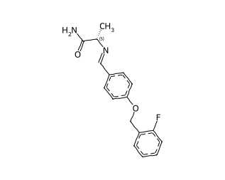 C[C@H](N=Cc1ccc(OCc2ccccc2F)cc1)C(N)=O